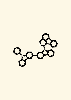 c1ccc(-n2c3ccccc3c3cc(-c4ccc5c6ccccc6n(-c6ncc7cccc8c7c6-c6ccccc6-8)c5c4)ccc32)cc1